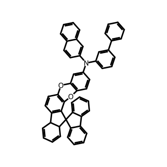 C1=CC2c3ccc4c(c3C3(c5ccccc5-c5ccccc53)C2C=C1)Oc1ccc(N(c2cccc(-c3ccccc3)c2)c2ccc3ccccc3c2)cc1O4